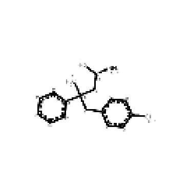 Cc1ccc(CC(C)(C[C@H](N)O)c2ccccc2)cc1